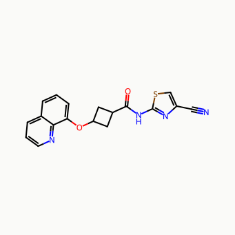 N#Cc1csc(NC(=O)C2CC(Oc3cccc4cccnc34)C2)n1